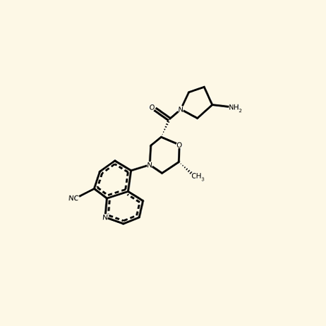 C[C@@H]1CN(c2ccc(C#N)c3ncccc23)C[C@H](C(=O)N2CCC(N)C2)O1